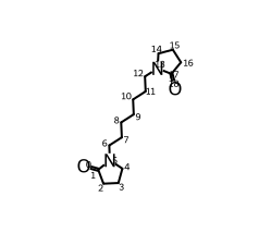 O=C1CCCN1CCCCCCCN1CCCC1=O